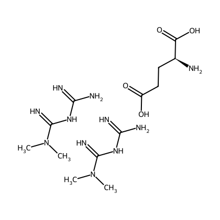 CN(C)C(=N)NC(=N)N.CN(C)C(=N)NC(=N)N.N[C@@H](CCC(=O)O)C(=O)O